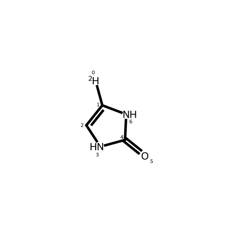 [2H]c1c[nH]c(=O)[nH]1